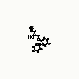 CCOCC(O)COc1ccccc1-c1ccccc1